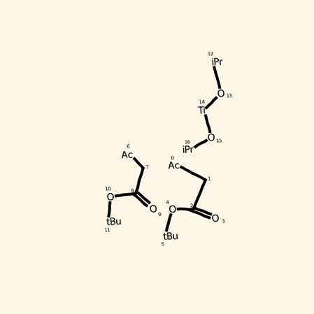 CC(=O)CC(=O)OC(C)(C)C.CC(=O)CC(=O)OC(C)(C)C.CC(C)[O][Ti][O]C(C)C